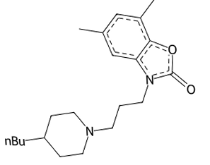 CCCCC1CCN(CCCn2c(=O)oc3c(C)cc(C)cc32)CC1